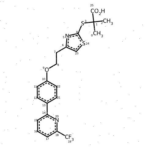 CC(C)(Sc1nc(CCOc2ccc(-c3cccc(C(F)(F)F)n3)cc2)cs1)C(=O)O